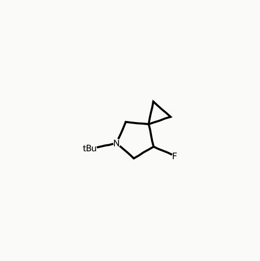 CC(C)(C)N1CC(F)C2(CC2)C1